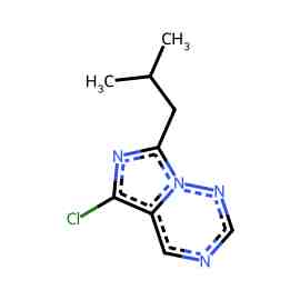 CC(C)Cc1nc(Cl)c2cncnn12